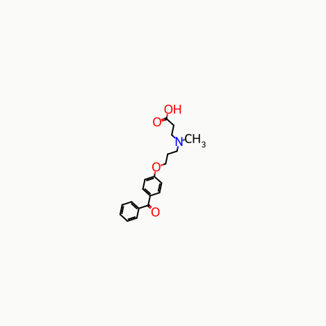 CN(CCCOc1ccc(C(=O)c2ccccc2)cc1)CCC(=O)O